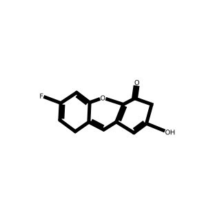 O=C1CC(O)=CC2=C1OC1=CC(F)=CCC1=C2